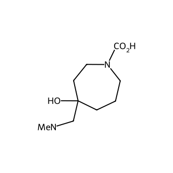 CNCC1(O)CCCN(C(=O)O)CC1